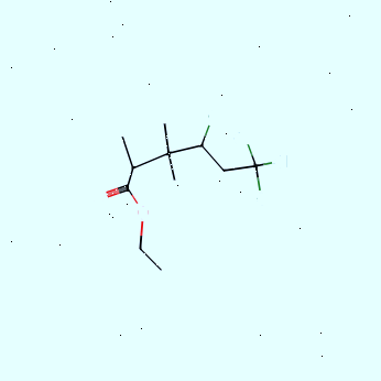 CCOC(=O)C(C)C(C)(C)C(Cl)CC(Cl)(Cl)Cl